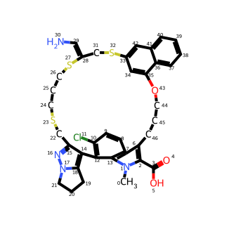 Cn1c(C(=O)O)c2c3ccc(Cl)c(c31)-c1c(nn3c1CCC3)CSCCCS/C(=C\N)CSc1cc(c3ccccc3c1)OCCC2